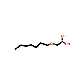 CCCCCCCSCB(O)O